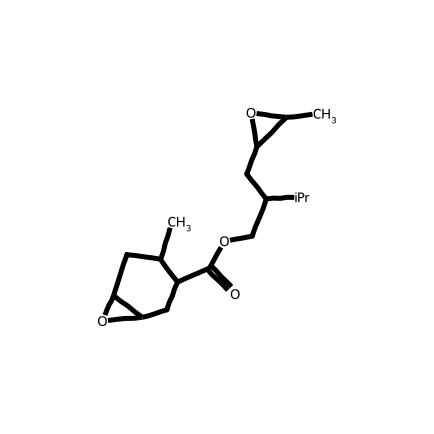 CC(C)C(COC(=O)C1CC2OC2CC1C)CC1OC1C